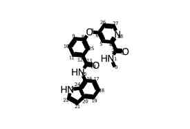 CNC(=O)c1cc(Oc2cccc(C(=O)Nc3cccc4cc[nH]c34)c2)ccn1